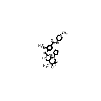 COc1cc(C(=O)NC2CCN(C)CC2)ccc1NC1NCC2C(N1)N(C1CCCC1)CC(F)(F)C(=O)N2C